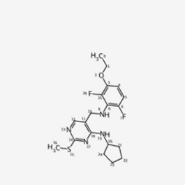 CCOc1ccc(F)c(NCc2cnc(SC)nc2NC2CCCC2)c1F